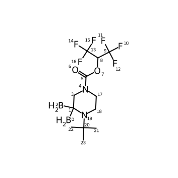 BC1(B)CN(C(=O)OC(C(F)(F)F)C(F)(F)F)CCN1C(C)(C)C